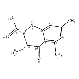 Cc1cc(C)c2c(c1)N[C@@H](C(=O)O)[C@@H](C)C2=O